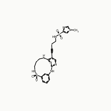 Cn1cnc(S(=O)(=O)NCCC#Cc2cnc3nc2NCCCNS(=O)(=O)c2cccc(c2)N3)c1